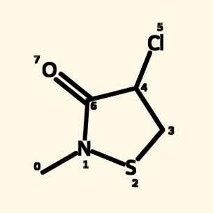 CN1SCC(Cl)C1=O